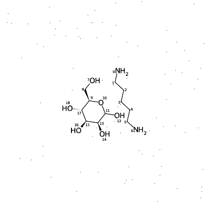 NCCCCCN.OC[C@H]1OC(O)[C@@H](O)[C@@H](O)[C@@H]1O